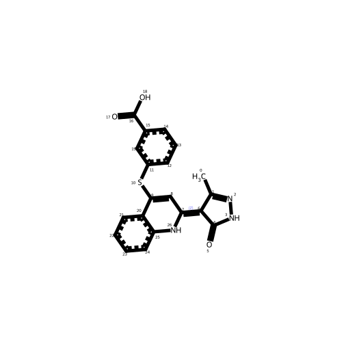 CC1=NNC(=O)/C1=C1/C=C(Sc2cccc(C(=O)O)c2)c2ccccc2N1